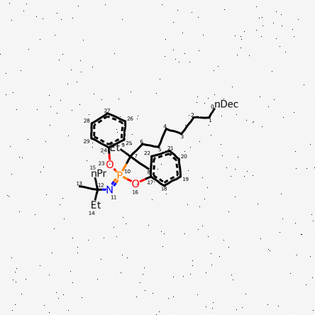 CCCCCCCCCCCCCCCCC(C)(CC)P(=NC(C)(CC)CCC)(Oc1ccccc1)Oc1ccccc1